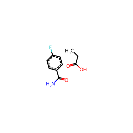 CCC(=O)O.NC(=O)c1ccc(F)cc1